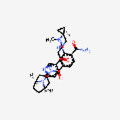 CN(C)CCC(=O)c1ccc(N2[C@@H]3CC[C@H]2C[C@@H](NC(=O)c2ccc(C(N)=O)c(NCC4CC4)c2)C3)nc1